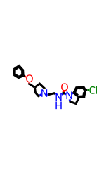 O=C(NCCN1CCC(COc2ccccc2)CC1)N1CCc2cc(Cl)ccc21